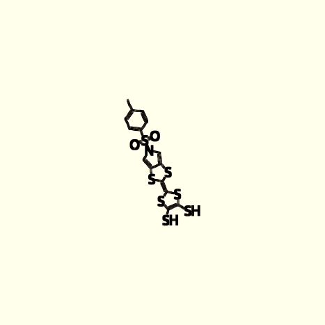 Cc1ccc(S(=O)(=O)n2cc3c(c2)SC(=C2SC(S)=C(S)S2)S3)cc1